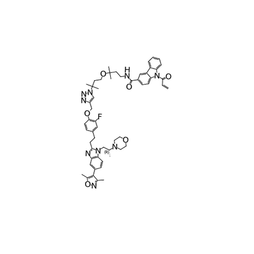 C=CC(=O)n1c2ccccc2c2cc(C(=O)NCCC(C)(C)OCCC(C)(C)n3cc(COc4ccc(CCc5nc6cc(-c7c(C)noc7C)ccc6n5C[C@@H](C)N5CCOCC5)cc4F)nn3)ccc21